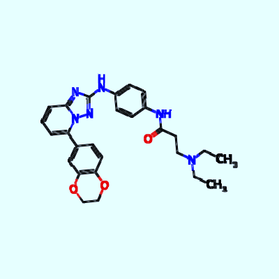 CCN(CC)CCC(=O)Nc1ccc(Nc2nc3cccc(-c4ccc5c(c4)OCCO5)n3n2)cc1